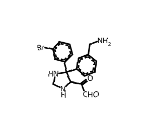 NCc1cccc(C2(c3cccc(Br)c3)NCNC2C(=O)C=O)c1